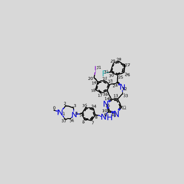 CN1CCN(c2ccc(Nc3ncc4c(n3)-c3ccc(CI)cc3C(c3ccccc3F)=NC4)cc2)CC1